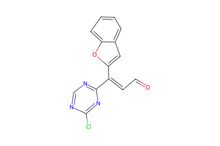 O=C/C=C(/c1ncnc(Cl)n1)c1cc2ccccc2o1